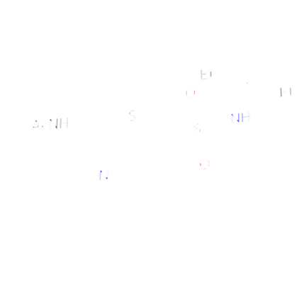 CCC(C)(CC)NS(=O)(=O)c1sc(NC(C)=O)nc1C